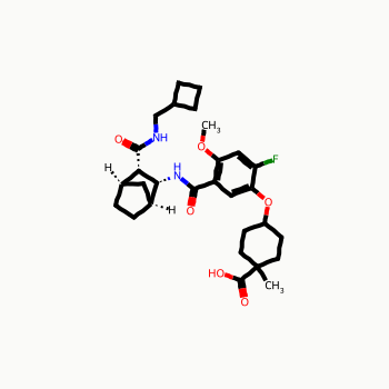 COc1cc(F)c(OC2CCC(C)(C(=O)O)CC2)cc1C(=O)N[C@@H]1[C@H]2CC[C@H](C2)[C@@H]1C(=O)NCC1CCC1